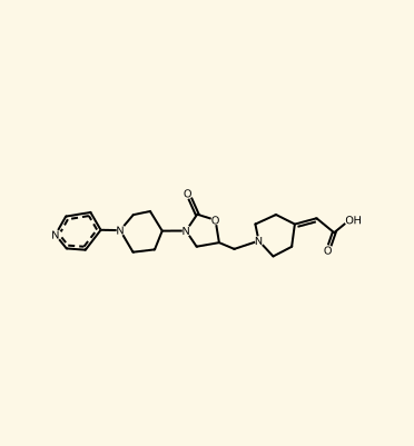 O=C(O)C=C1CCN(CC2CN(C3CCN(c4ccncc4)CC3)C(=O)O2)CC1